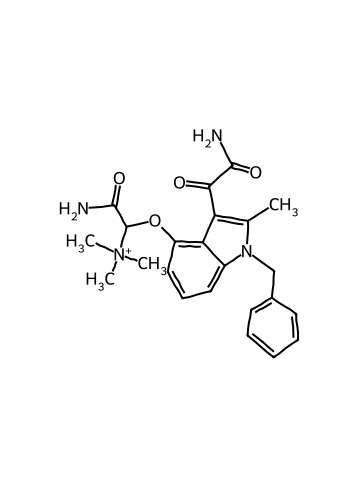 Cc1c(C(=O)C(N)=O)c2c(OC(C(N)=O)[N+](C)(C)C)cccc2n1Cc1ccccc1